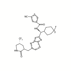 N#Cc1cc(C(=O)N[C@H](c2cn3nc(CC4C[C@@H](C(F)(F)F)CNC4=O)ccc3n2)C2CCC(F)(F)CC2)cs1